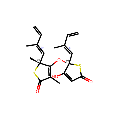 C=C/C(C)=C/[C@@]1(C)SC(=O)C(C)=C1O[C@]1(/C=C(\C)C=C)SC(=O)C=C1O